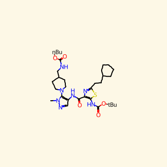 CCCCOC(=O)NCC1CCN(c2c(NC(=O)c3nc(CCC4CCCCC4)sc3NC(=O)OC(C)(C)C)cnn2C)CC1